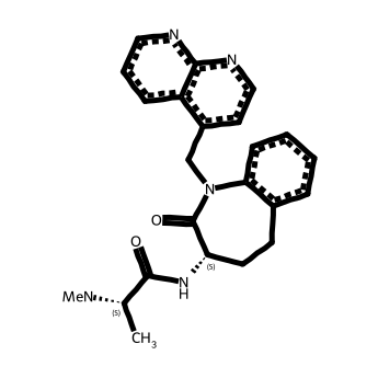 CN[C@@H](C)C(=O)N[C@H]1CCc2ccccc2N(Cc2ccnc3ncccc23)C1=O